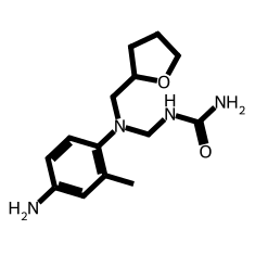 Cc1cc(N)ccc1N(CNC(N)=O)CC1CCCO1